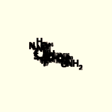 C=C1CSC[C@@H](C#N)NC(=O)[C@H](CC(C)C)N[C@@]1(c1ccc(-c2ccc(C3(C(N)=O)CC3)cc2)cc1)C(F)(F)F